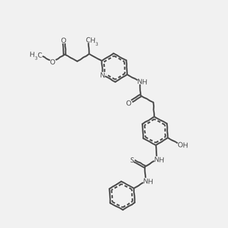 COC(=O)CC(C)c1ccc(NC(=O)Cc2ccc(NC(=S)Nc3ccccc3)c(O)c2)cn1